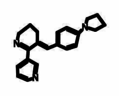 C(=C1/CCCN=C1c1cccnc1)/c1ccc(N2CCCC2)cc1